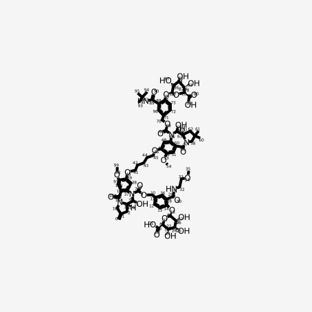 C=C1C[C@H]2C(O)N(C(=O)OCc3ccc(O[C@@H]4O[C@H](C(=O)O)[C@@H](O)[C@H](O)[C@H]4O)c(C(=O)NCCOC)c3)c3cc(OCCCCCOc4cc5c(cc4OC)C(=O)N4CC(C)(C)C[C@H]4C(O)N5C(=O)OCc4ccc(O[C@@H]5O[C@H](C(=O)O)[C@@H](O)[C@H](O)[C@H]5O)c(C(=O)NC(C)(C)C)c4)c(OC)cc3C(=O)N2C1